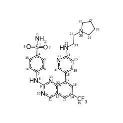 NS(=O)(=O)c1ccc(Nc2ncc3cc(C(F)(F)F)cc(-c4ccc(NCCN5CCCC5)nc4)c3n2)cc1